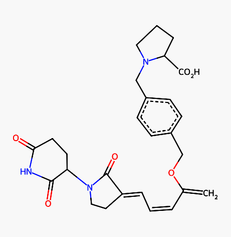 C=C(/C=C\C=C1/CCN(C2CCC(=O)NC2=O)C1=O)OCc1ccc(CN2CCCC2C(=O)O)cc1